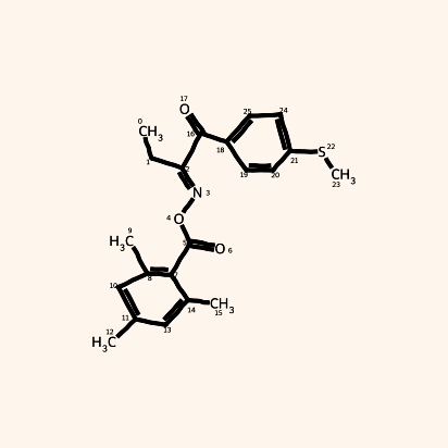 CC/C(=N\OC(=O)c1c(C)cc(C)cc1C)C(=O)c1ccc(SC)cc1